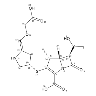 CC(O)[C@H]1C(=O)N2C(C(=O)O)=C(S[C@@H]3CNC(=NOCC(=O)O)C3)[C@H](C)[C@H]12